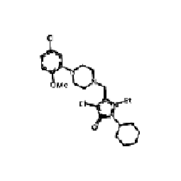 CCn1c(CN2CCN(c3cc(Cl)ccc3OC)CC2)c(Cl)c(=O)n1C1CCCCC1